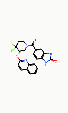 O=C(c1ccc2[nH]c(=O)[nH]c2c1)N1CCC(F)(F)[C@@H](Oc2ccc3ccccc3n2)C1